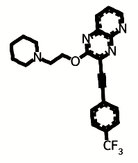 FC(F)(F)c1ccc(C#Cc2nc3ncccc3nc2OCCN2CCCCC2)cc1